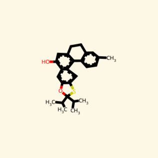 Cc1ccc2c(c1)CCc1cc(O)c3cc4c(cc3c1-2)SC(C(C)C)(C(C)C)O4